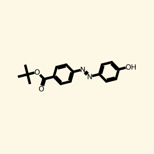 CC(C)(C)OC(=O)c1ccc(N=Nc2ccc(O)cc2)cc1